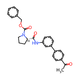 CC(=O)c1ccc(-c2cccc(NC(=O)[C@@H]3CCCN3C(=O)OCc3ccccc3)c2)cc1